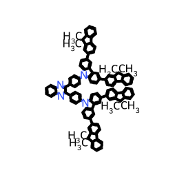 CC1(C)c2ccccc2-c2ccc(-c3ccc4c(c3)c3cc(-c5ccc6c(c5)C(C)(C)c5ccccc5-6)ccc3n4-c3ccc(-c4nc5ccccc5nc4-c4ccc(-n5c6ccc(-c7ccc8c(c7)C(C)(C)c7ccccc7-8)cc6c6cc(-c7ccc8c(c7)C(C)(C)c7ccccc7-8)ccc65)cc4)cc3)cc21